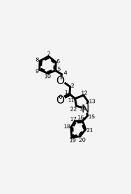 O=C(COCc1ccccc1)C1CCN(Cc2ccccc2)C1